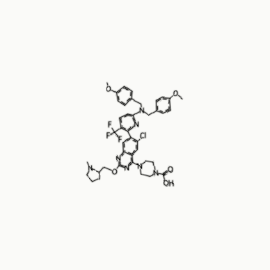 COc1ccc(CN(Cc2ccc(OC)cc2)c2ccc(C(F)(F)F)c(-c3cc4nc(OCC5CCCN5C)nc(N5CCN(C(=O)O)CC5)c4cc3Cl)n2)cc1